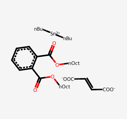 CCCCCCCCOC(=O)c1ccccc1C(=O)OCCCCCCCC.CCC[CH2][Sn+2][CH2]CCC.O=C([O-])C=CC(=O)[O-]